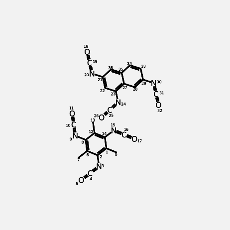 Cc1c(N=C=O)c(C)c(N=C=O)c(C)c1N=C=O.O=C=Nc1cc(N=C=O)c2cc(N=C=O)ccc2c1